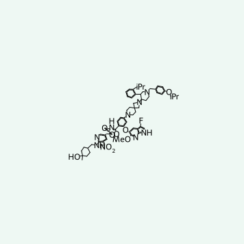 COc1nc2[nH]cc(F)c2cc1Oc1cc(N2CCC3(CC2)CN(C2CCN(Cc4ccc(OC(C)C)cc4)CC2c2ccccc2C(C)C)C3)ccc1C(=O)NS(=O)(=O)c1cnc(NCC2CCC(C)(O)CC2)c([N+](=O)[O-])c1